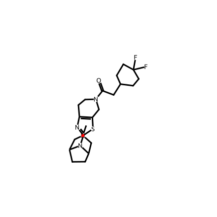 CN1CC2CCC(C1)N2c1nc2c(s1)CN(C(=O)CC1CCC(F)(F)CC1)CC2